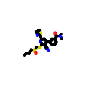 CCCC[S+]([O-])CSc1nc(-c2nccs2)cc(-c2cccc(C(=O)N(C)C)c2)c1C#N